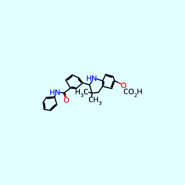 CC1(C)Cc2cc(OC(=O)O)ccc2NC1c1cccc(C(=O)Nc2ccccc2)c1